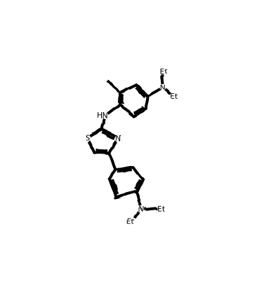 CCN(CC)c1ccc(-c2csc(Nc3ccc(N(CC)CC)cc3C)n2)cc1